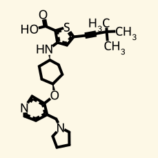 CC(C)(C)C#Cc1cc(N[C@H]2CC[C@H](Oc3cnccc3CN3CCCC3)CC2)c(C(=O)O)s1